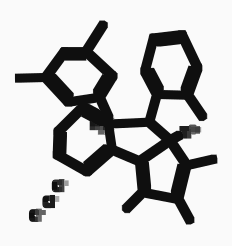 CC1=C(C)[C]([Ti+3])(C([SiH2]c2cc(C)cc(C)c2)c2ccccc2C)C(c2ccccc2)=C1C.[Cl-].[Cl-].[Cl-]